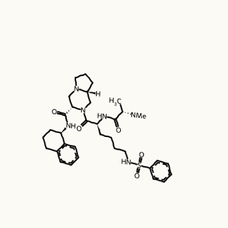 CN[C@@H](C)C(=O)N[C@@H](CCCCNS(=O)(=O)c1ccccc1)C(=O)N1C[C@H]2CCCN2C[C@H]1C(=O)N[C@@H]1CCCc2ccccc21